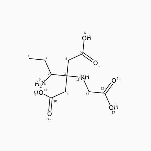 CCC(N)C(CC(=O)O)(CC(=O)O)NCC(=O)O